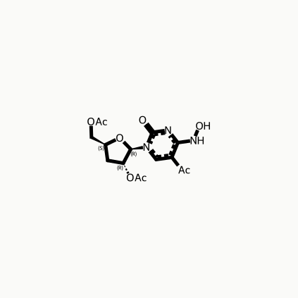 CC(=O)OC[C@@H]1C[C@@H](OC(C)=O)[C@H](n2cc(C(C)=O)c(NO)nc2=O)O1